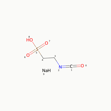 O=C=NCCS(=O)(=O)O.[NaH]